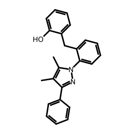 Cc1c(-c2ccccc2)nn(-c2ccccc2Cc2ccccc2O)c1C